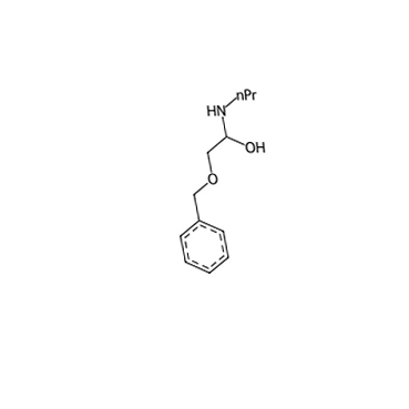 CCCNC(O)COCc1ccccc1